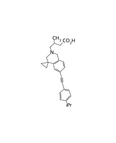 CC(CC(=O)O)CN1Cc2ccc(C#Cc3ccc(C(C)C)cc3)cc2C2(CC2)C1